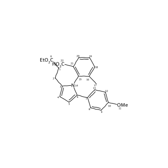 CCOC(=O)CCc1ccc(-c2ccc(OC)cc2)n1-c1c(C)cccc1C(=O)O